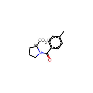 Cc1ccc(C(=O)N2CCC[C@H]2C(=O)O)cc1